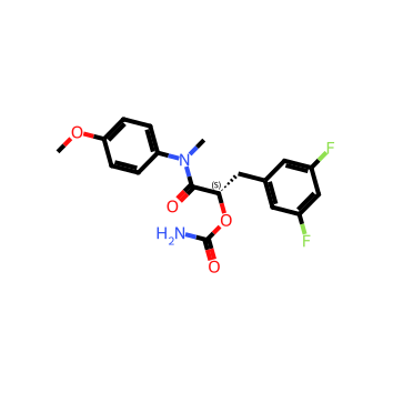 COc1ccc(N(C)C(=O)[C@H](Cc2cc(F)cc(F)c2)OC(N)=O)cc1